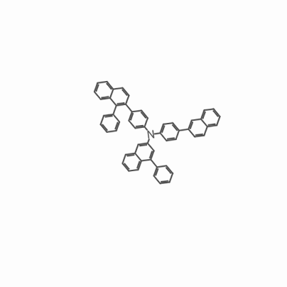 c1ccc(-c2cc(N(c3ccc(-c4ccc5ccccc5c4)cc3)c3ccc(-c4ccc5ccccc5c4-c4ccccc4)cc3)cc3ccccc23)cc1